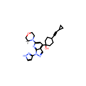 C[C@@H]1COCCN1c1cc(C2(O)CCC(C#CC3CC3)CC2)c2cnn(-c3cc[nH]n3)c2n1